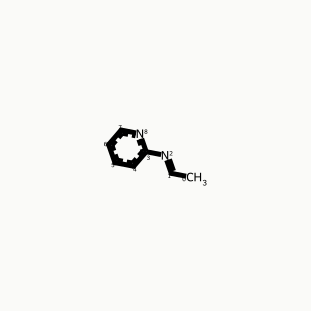 CC=Nc1ccccn1